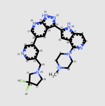 CN1CCN(c2nccc3[nH]c(-c4n[nH]c5ncc(-c6cncc(CN7CCC(F)(F)C7)c6)cc45)cc23)CC1